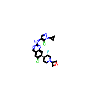 F[C@@H]1CN(C2COC2)CC[C@H]1c1cc2nc(Nc3cnn(C4CC4)c3Cl)ncc2cc1Cl